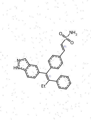 CC/C(=C(/c1ccc(/C=C/S(N)(=O)=O)cc1)c1ccc2[nH]ncc2c1)c1ccccc1